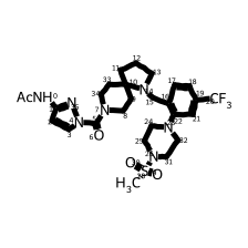 CC(=O)Nc1ccn(C(=O)N2CCC3(CCCN3Cc3ccc(C(F)(F)F)cc3N3CCN(S(C)(=O)=O)CC3)CC2)n1